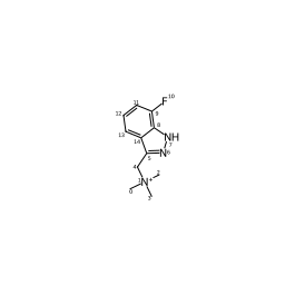 C[N+](C)(C)Cc1n[nH]c2c(F)cccc12